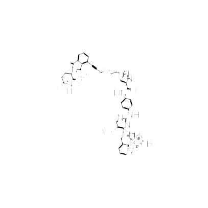 CN(c1ncccc1CNc1nc(Nc2ccc(NC(=O)c3cn(CCOCC#Cc4cccc5c4C(=O)N(C4CCC(=O)NC4=O)C5=O)nn3)cc2)ncc1C(F)(F)F)S(C)(=O)=O